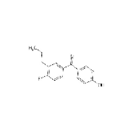 CCCc1cc(C(=O)c2ccc(O)cc2)ccc1F